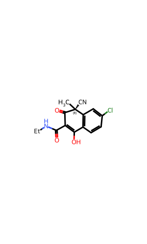 CCNC(=O)C1=C(O)c2ccc(Cl)cc2[C@](C)(C#N)C1=O